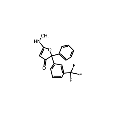 CNC1=CC(=O)C(c2ccccc2)(c2cccc(C(F)(F)F)c2)O1